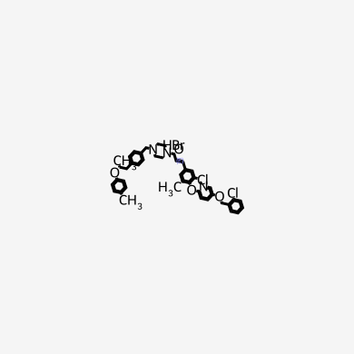 Br.Cc1ccc(OC(C)Cc2ccc(CN3CCN(C(=O)/C=C/c4cc(C)c(Oc5ccc(OCc6ccccc6Cl)cn5)c(Cl)c4)CC3)cc2)cc1